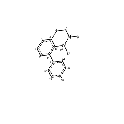 CN1CCc2cccc(-c3ccncc3)c2N1C